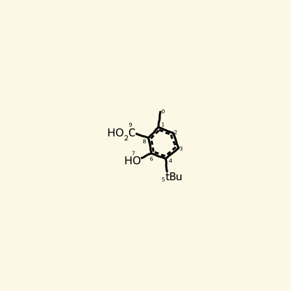 Cc1ccc(C(C)(C)C)c(O)c1C(=O)O